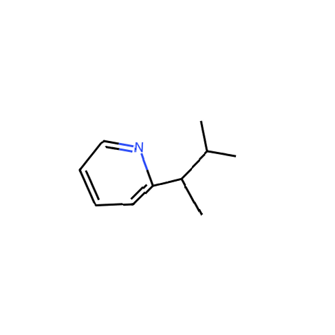 CC(C)C(C)c1ccccn1